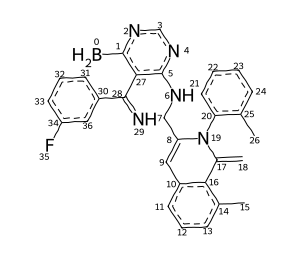 Bc1ncnc(NCC2=Cc3cccc(C)c3C(=C)N2c2ccccc2C)c1C(=N)c1cccc(F)c1